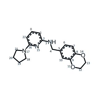 c1cc(NCc2ccc3c(c2)OCCO3)nc(N2CCCC2)c1